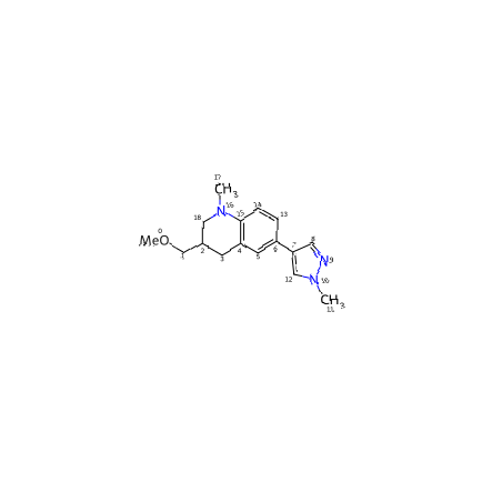 COCC1Cc2cc(-c3cnn(C)c3)ccc2N(C)C1